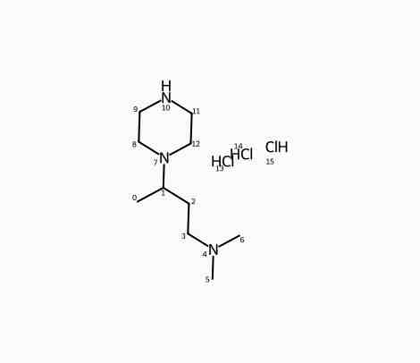 CC(CCN(C)C)N1CCNCC1.Cl.Cl.Cl